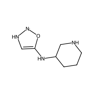 C1=C(NC2CCCNC2)O[N]N1